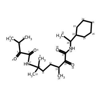 CC(C)C(=O)C(=O)NC(C)(C)CCC(C)C(=O)C(=O)NC(C)C1CCCCC1